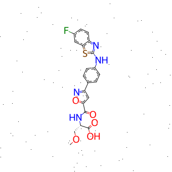 COC[C@H](NC(=O)c1cc(-c2ccc(Nc3nc4ccc(F)cc4s3)cc2)no1)C(=O)O